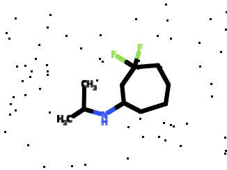 CC(C)NC1CCCCC(F)(F)C1